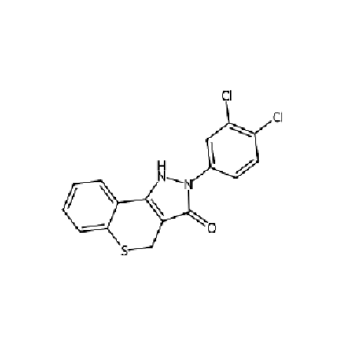 O=c1c2c([nH]n1-c1ccc(Cl)c(Cl)c1)-c1ccccc1SC2